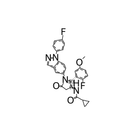 COc1ccc(F)c([C@@H]2[C@@H](NC(=O)C3CC3)CC(=O)N2c2ccc3c(cnn3-c3ccc(F)cc3)c2)c1